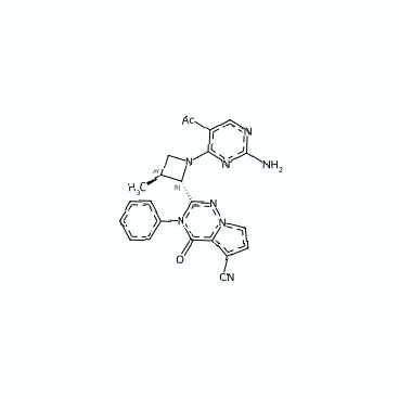 CC(=O)c1cnc(N)nc1N1C[C@H](C)[C@H]1c1nn2ccc(C#N)c2c(=O)n1-c1ccccc1